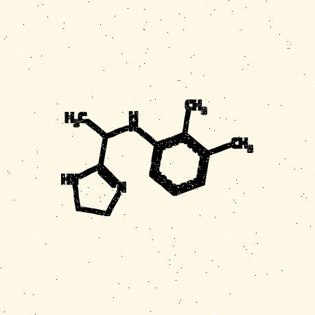 Cc1cccc(NC(C)C2=NCCN2)c1C